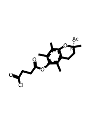 CC(=O)[C@]1(C)CCc2c(C)c(OC(=O)CCC(=O)Cl)c(C)c(C)c2O1